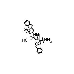 CC(C)(N)C(=O)N[C@H](COCc1ccccc1)C(=O)NCCC1Cc2ccccc2N1S(C)(=O)=O.Cl